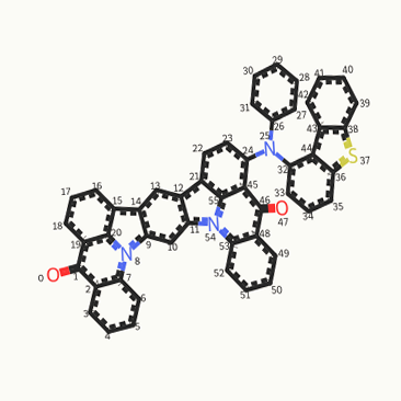 O=c1c2ccccc2n2c3cc4c(cc3c3cccc1c32)c1ccc(N(c2ccccc2)c2cccc3sc5ccccc5c23)c2c(=O)c3ccccc3n4c21